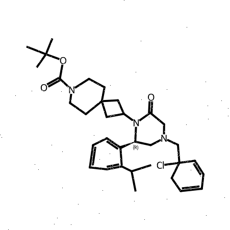 CC(C)c1ccccc1[C@@H]1CN(CC2(Cl)C=CC=CC2)CC(=O)N1C1CC2(CCN(C(=O)OC(C)(C)C)CC2)C1